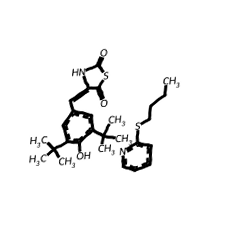 CC(C)(C)c1cc(C=C2NC(=O)SC2=O)cc(C(C)(C)C)c1O.CCCCSc1ccccn1